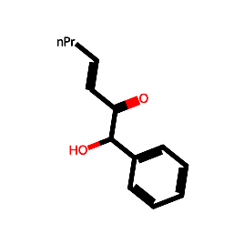 CCCC=CC(=O)C(O)c1ccccc1